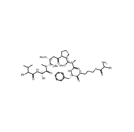 CC[C@H](C)[C@@H]([C@@H](CC(=O)N1CCC[C@H]1[C@H](OC)[C@@H](C)C(=O)N[C@@H](Cc1ccccc1)C(=O)NCCCOC(=O)C(N)C(C)C)OC)N(C)C(=O)[C@@H](NC(=O)C(C(C)C)N(C)C)C(C)C